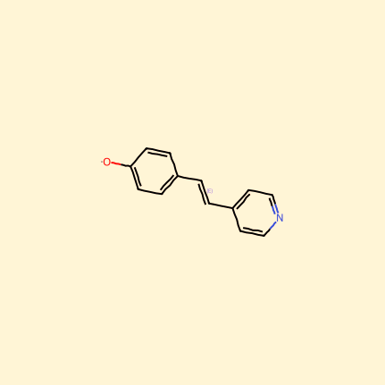 [O]c1ccc(/C=C/c2ccncc2)cc1